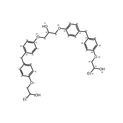 CCC(O)COc1ccc(Cc2ccc(OCC(O)COc3ccc(Cc4ccc(OCC(O)CC)cc4)cc3)cc2)cc1